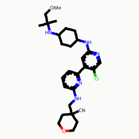 COCC(C)(C)NC1CCC(Nc2cc(-c3cccc(NCC4(C#N)CCOCC4)n3)c(Cl)cn2)CC1